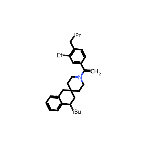 C=C(c1ccc(CC(C)C)c(CC)c1)N1CCC2(CC1)Cc1ccccc1C(C(C)CC)C2